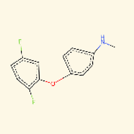 CNc1ccc(Oc2cc(F)ccc2F)cc1